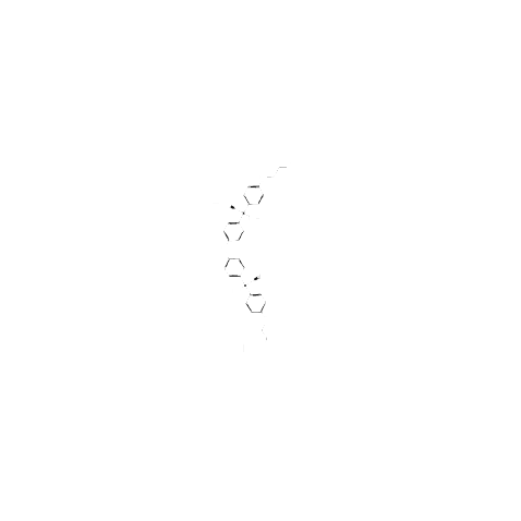 C#CC(O)(c1ccc(OCCC)cc1)c1ccc(Sc2ccc(C(O)(C#C)c3ccc(OCCC)cc3)cc2)cc1